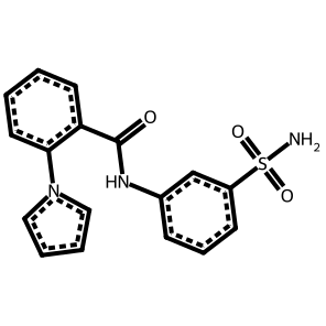 NS(=O)(=O)c1cccc(NC(=O)c2ccccc2-n2cccc2)c1